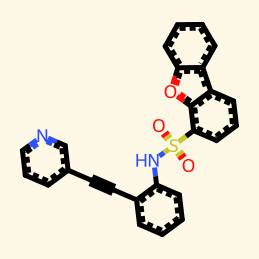 O=S(=O)(Nc1ccccc1C#Cc1cccnc1)c1cccc2c1oc1ccccc12